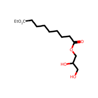 CCOC(=O)CCCCCCCC(=O)OCC(O)CO